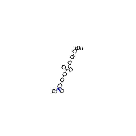 CCn1c2ccccc2c2cc(-c3ccc(-c4ccc(-c5c6ccccc6c(-c6ccc(-c7ccc(-c8ccc(C(C)(C)C)cc8)cc7)cc6)c6ccccc56)cc4)cc3)ccc21